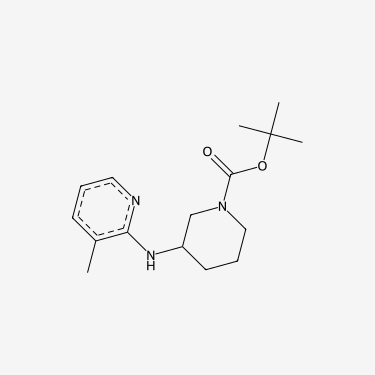 Cc1cccnc1NC1CCCN(C(=O)OC(C)(C)C)C1